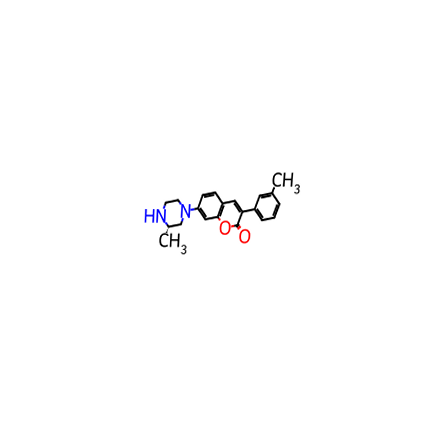 Cc1cccc(-c2cc3ccc(N4CCN[C@@H](C)C4)cc3oc2=O)c1